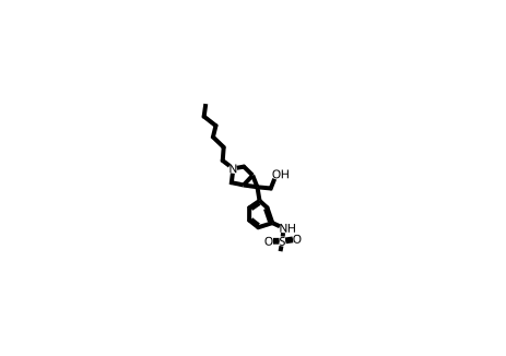 CCCCCCN1CC2C(C1)C2(CO)c1cccc(NS(C)(=O)=O)c1